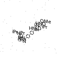 COC(=O)NC(C(=O)N1CCC[C@H]1C1=NCC(c2ccc(-c3ccc(-c4cnc([C@@H]5CCCN5C(=O)CN(C(C)C)C(C)C)[nH]4)cc3)cc2)N1)C(C)C